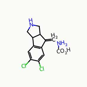 C=C1c2cc(Cl)c(Cl)cc2C2CNCC12.NC(=O)O